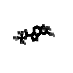 CC(C)Cc1c(N)ccc2c1ncn2C(=O)OC(C)(C)C